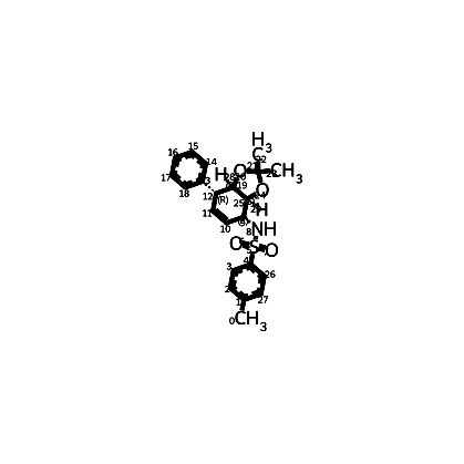 Cc1ccc(S(=O)(=O)N[C@@H]2C=C[C@H](c3ccccc3)[C@H]3OC(C)(C)O[C@H]32)cc1